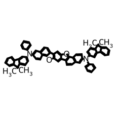 CC1(C)c2ccccc2-c2cc(N(c3ccccc3)c3ccc4c(ccc5c6cc7oc8c9ccc(N(c%10ccccc%10)c%10ccc%11c(c%10)-c%10ccccc%10C%11(C)C)cc9ccc8c7cc6oc45)c3)ccc21